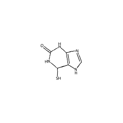 O=C1Nc2nc[nH]c2C(S)N1